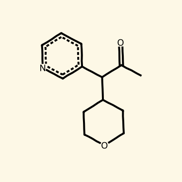 CC(=O)C(c1cccnc1)C1CCOCC1